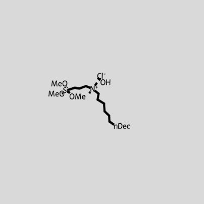 CCCCCCCCCCCCCCCC[N+](C)(C)CCC[Si](OC)(OC)OC.CO.[Cl-]